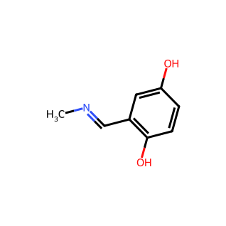 C/N=C/c1cc(O)ccc1O